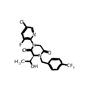 CC(O)[C@H]1C(=O)N(c2ncc(Cl)cc2F)CC(=O)N1Cc1ccc(C(F)(F)F)cc1